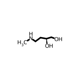 CNCC[C@H](O)CO